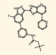 CC(C)(C)CC(=O)Nc1cncc(-c2cc(F)c3[nH]nc(-c4nc5c(-c6ccccn6)ccnc5[nH]4)c3c2)c1